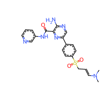 CN(C)C=CCS(=O)(=O)c1ccc(-c2cnc(N)c(C(=O)Nc3cccnc3)n2)cc1